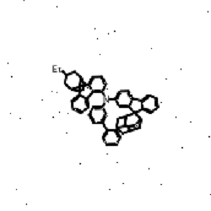 CCC1CC2CCCC(C1)C21c2ccccc2-c2c(N(c3cccc(-c4ccccc4)c3)c3ccc4c(c3)C3(c5ccccc5-4)C4CC5CC(C4)CC3C5)cccc21